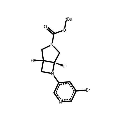 CC(C)(C)OC(=O)N1C[C@H]2CN(c3cncc(Br)c3)[C@H]2C1